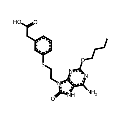 CCCCOc1nc(N)c2[nH]c(=O)n(CCSc3cccc(CC(=O)O)c3)c2n1